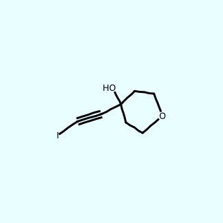 OC1(C#CI)CCOCC1